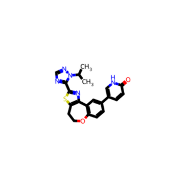 CC(C)n1ncnc1-c1nc2c(s1)CCOc1ccc(-c3ccc(=O)[nH]c3)cc1-2